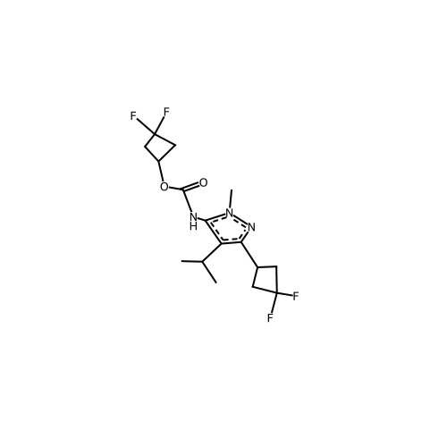 CC(C)c1c(C2CC(F)(F)C2)nn(C)c1NC(=O)OC1CC(F)(F)C1